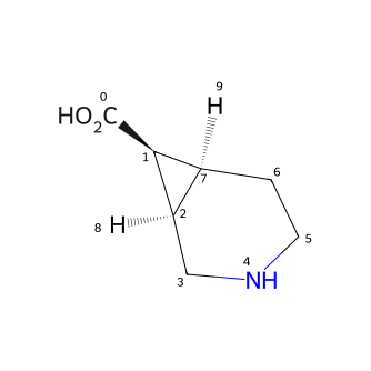 O=C(O)[C@@H]1[C@@H]2CNCC[C@@H]21